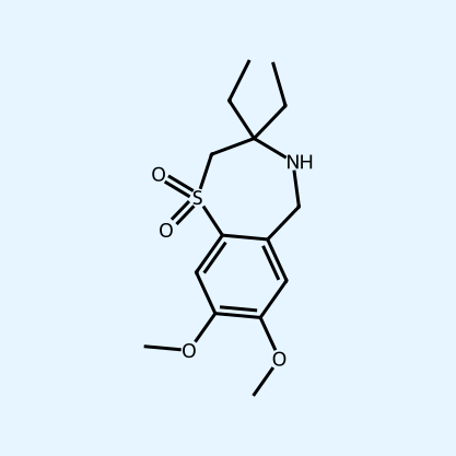 CCC1(CC)CS(=O)(=O)c2cc(OC)c(OC)cc2CN1